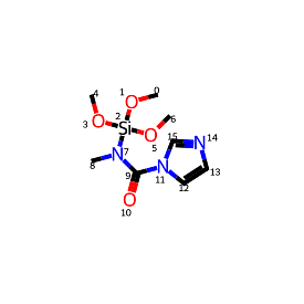 CO[Si](OC)(OC)N(C)C(=O)n1ccnc1